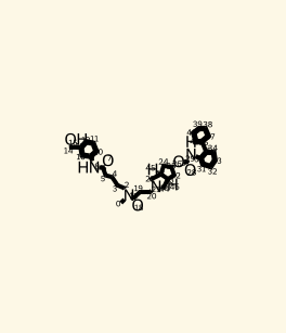 CN(CCCCC(=O)Nc1cccc(CO)c1)C(=O)CCN1C[C@H]2C[C@@H](OC(=O)Nc3ccccc3-c3ccccc3)C[C@H]2C1